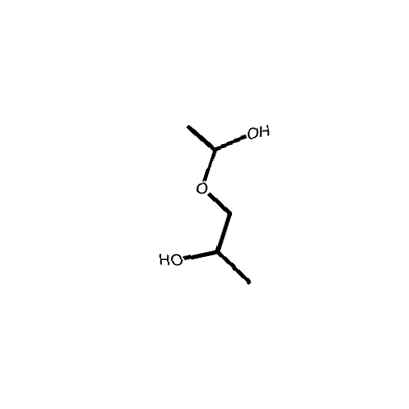 CC(O)COC(C)O